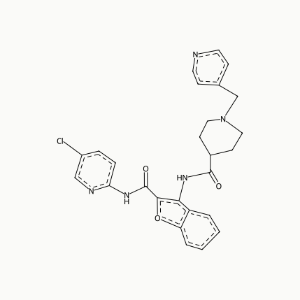 O=C(Nc1ccc(Cl)cn1)c1oc2ccccc2c1NC(=O)C1CCN(Cc2ccncc2)CC1